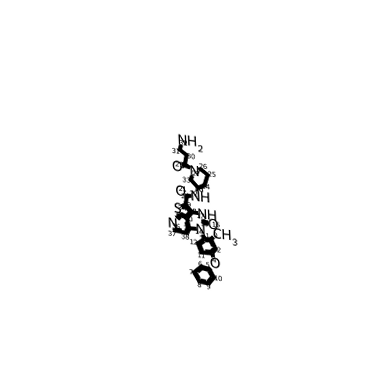 Cc1cc(Oc2ccccc2)ccc1N1C(=O)Nc2c(C(=O)N[C@@H]3CCCN(C(=O)CCN)C3)sc3nccc1c23